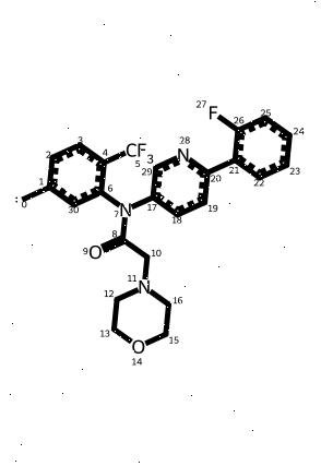 [CH]c1ccc(C(F)(F)F)c(N(C(=O)CN2CCOCC2)c2ccc(-c3ccccc3F)nc2)c1